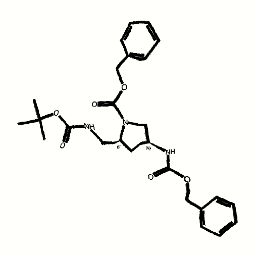 CC(C)(C)OC(=O)NC[C@@H]1C[C@H](NC(=O)OCc2ccccc2)CN1C(=O)OCc1ccccc1